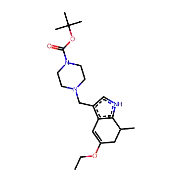 CCOC1=Cc2c(CN3CCN(C(=O)OC(C)(C)C)CC3)c[nH]c2C(C)C1